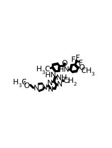 C=C/N=C1/C=NC(N2CCN(CCOC)CC2)=N/C1=C(/N)Nc1cc(C(=O)Nc2ccc(OC)c(C(F)(F)F)c2)ccc1C